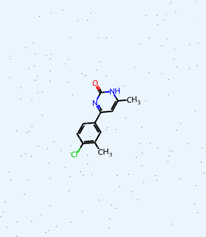 Cc1cc(-c2ccc(Cl)c(C)c2)nc(=O)[nH]1